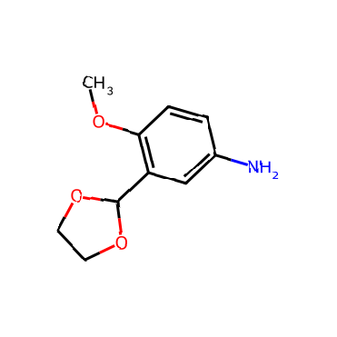 COc1ccc(N)cc1C1OCCO1